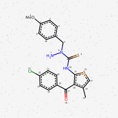 COc1ccc(CN(N)C(=S)Nc2scc(C)c2C(=O)c2ccc(Cl)cc2)cc1